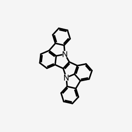 c1ccc2c(c1)c1cccc3c1n2c1c2cccc4c5ccccc5n(c42)c31